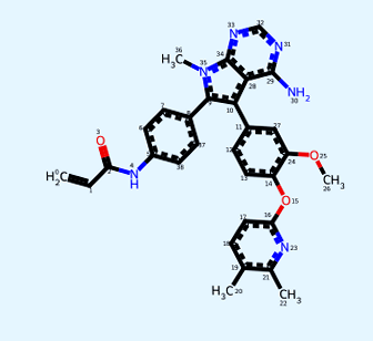 C=CC(=O)Nc1ccc(-c2c(-c3ccc(Oc4ccc(C)c(C)n4)c(OC)c3)c3c(N)ncnc3n2C)cc1